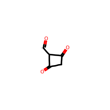 O=[C]C1C(=O)CC1=O